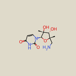 C[C@]1(O)[C@H](n2ccc(=O)[nH]c2=O)O[C@@](C)(CN)[C@H]1O